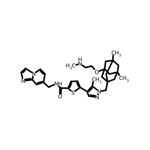 CNCCOC12CC3(C)CC(C)(CC(Cn4ncc(-c5ccc(C(=O)NCc6ccn7ccnc7c6)s5)c4C)(C3)C1)C2